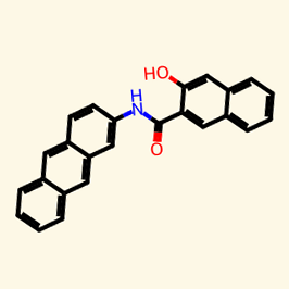 O=C(Nc1ccc2cc3ccccc3cc2c1)c1cc2ccccc2cc1O